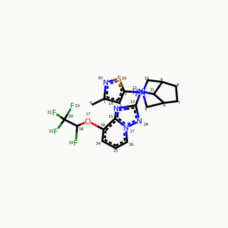 Cc1cc(N2CC3CCC(C2)C3Nc2nc3c(OC(F)C(F)(F)F)cccn3n2)sn1